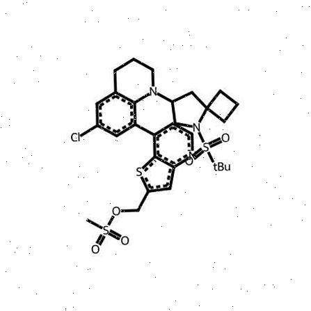 CC(C)(C)S(=O)(=O)N1CC(N2CCCc3cc(Cl)cc(-c4ccnc5cc(COS(C)(=O)=O)sc45)c32)CC12CCC2